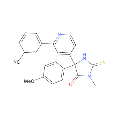 COc1ccc(C2(c3ccnc(-c4cccc(C#N)c4)c3)NC(=S)N(C)C2=O)cc1